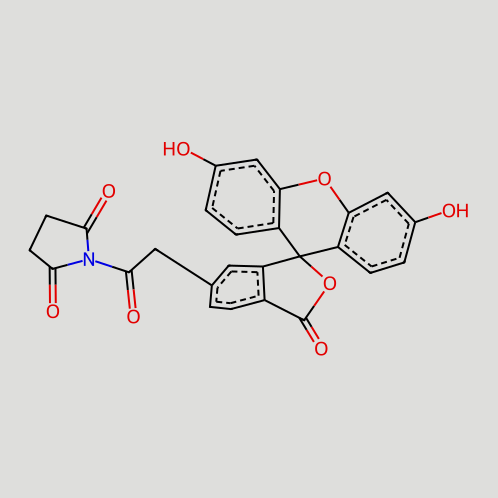 O=C1OC2(c3ccc(O)cc3Oc3cc(O)ccc32)c2cc(CC(=O)N3C(=O)CCC3=O)ccc21